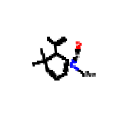 C=C(C)C1C=CC=CC1(C)C.CCCCCN=C=O